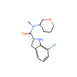 CN(C(=O)c1cc2cccc(Cl)c2[nH]1)C1CCCOC1